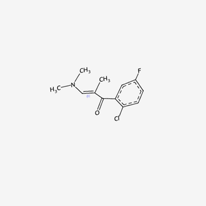 C/C(=C\N(C)C)C(=O)c1cc(F)ccc1Cl